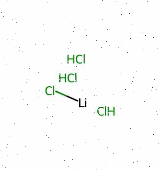 Cl.Cl.Cl.[Li][Cl]